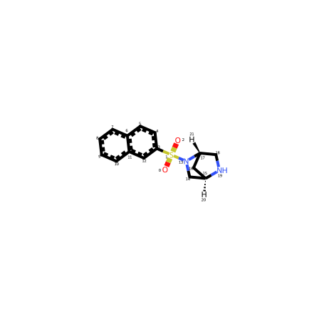 O=S(=O)(c1ccc2ccccc2c1)N1C[C@H]2C[C@H]1CN2